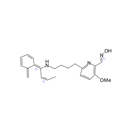 C=c1cccc/c1=C(/C=C\C)NCCCCc1ccc(OC)c(/C=N/O)n1